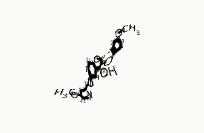 COc1ccc(O[C@H]2COc3ccc(OCc4cc(OC)ccn4)cc3[C@H]2O)cc1